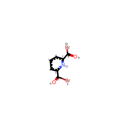 O=C(Br)c1cccc(C(=O)Br)n1